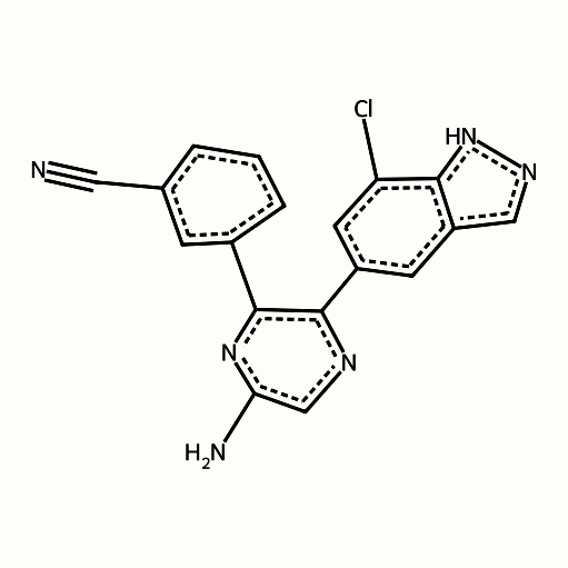 N#Cc1cccc(-c2nc(N)cnc2-c2cc(Cl)c3[nH]ncc3c2)c1